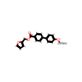 CCCCCCOc1ccc(-c2ccc(C(=O)OCc3ccco3)cc2)cc1